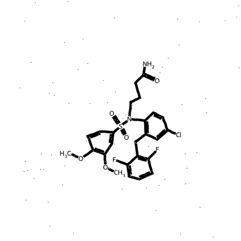 COc1ccc(S(=O)(=O)N(CCCC(N)=O)c2ccc(Cl)cc2Cc2c(F)cccc2F)cc1OC